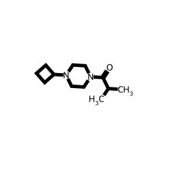 CC(C)C(=O)N1CCN(C2CCC2)CC1